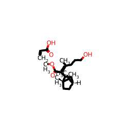 C=CC(=O)O.COC(=O)C(=C(C)CCCO)C1C[C@H]2CC[C@@]1(C)C2(C)C